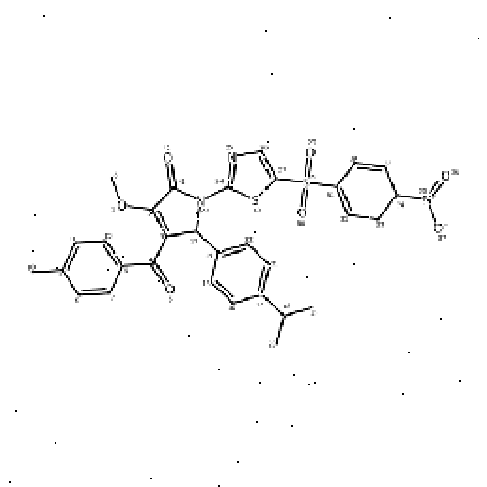 COC1=C(C(=O)c2ccc(C)cc2)C(c2ccc(C(C)C)cc2)N(c2ncc(S(=O)(=O)C3=CCC([N+](=O)[O-])C=C3)s2)C1=O